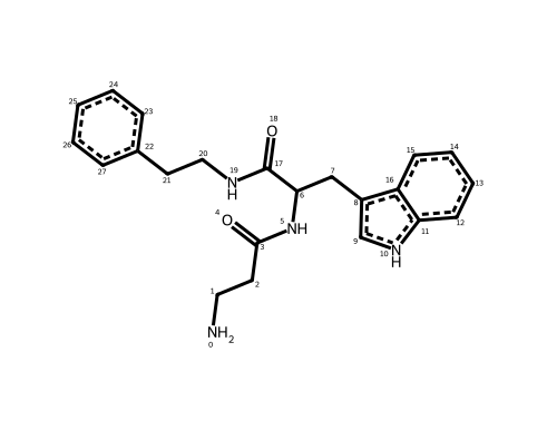 NCCC(=O)NC(Cc1c[nH]c2ccccc12)C(=O)NCCc1ccccc1